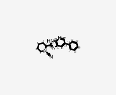 N#CN1CCCCC1c1nc2cc(-c3ccccc3)cnc2[nH]1